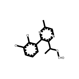 Cc1cnc(C(C)OC=O)c(-c2cccc(Cl)c2Cl)n1